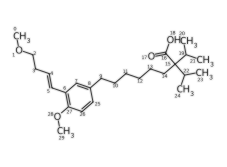 COCCC=Cc1cc(CCCCCCC(C(=O)O)(C(C)C)C(C)C)ccc1OC